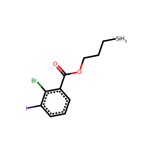 O=C(OCCC[SiH3])c1cccc(I)c1Br